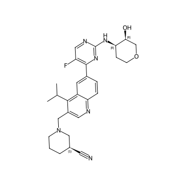 CC(C)c1c(CN2CCC[C@H](C#N)C2)cnc2ccc(-c3nc(N[C@@H]4CCOC[C@@H]4O)ncc3F)cc12